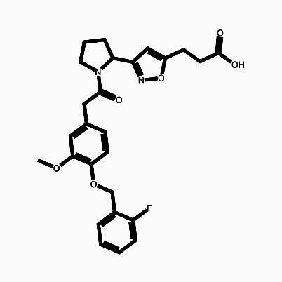 COc1cc(CC(=O)N2CCCC2c2cc(CCC(=O)O)on2)ccc1OCc1ccccc1F